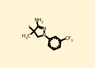 CC1(I)CN(c2cccc(C(F)(F)F)c2)N=C1N